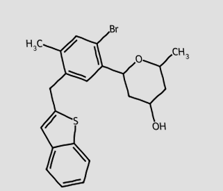 Cc1cc(Br)c(C2CC(O)CC(C)O2)cc1Cc1cc2ccccc2s1